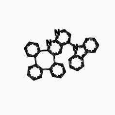 c1ccc2c(c1)-c1ccccc1-c1cc3c(-n4c5ccccc5c5ccccc54)ccnc3nc1-c1ccccc1-2